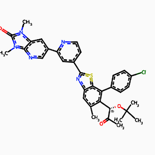 CC(=O)[C@@H](OC(C)(C)C)c1c(C)cc2nc(-c3ccnc(-c4cnc5c(c4)n(C)c(=O)n5C)c3)sc2c1-c1ccc(Cl)cc1